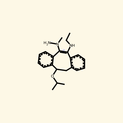 CCN/C1=C(\N(C)N)c2ccccc2C(OC(C)C)Cc2ccccc21